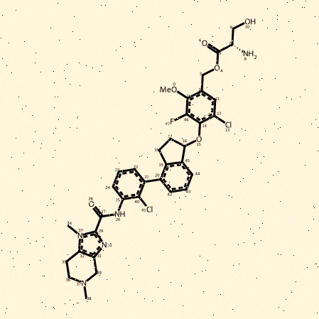 COc1c(COC(=O)[C@@H](N)CO)cc(Cl)c(OC2CCc3c(-c4cccc(NC(=O)c5nc6c(n5C)CCN(C)C6)c4Cl)cccc32)c1F